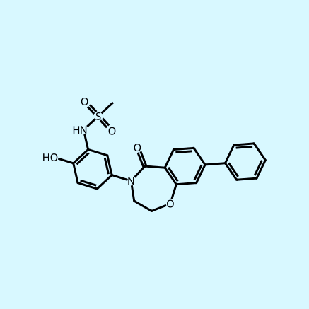 CS(=O)(=O)Nc1cc(N2CCOc3cc(-c4ccccc4)ccc3C2=O)ccc1O